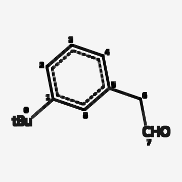 CC(C)(C)c1cccc(CC=O)c1